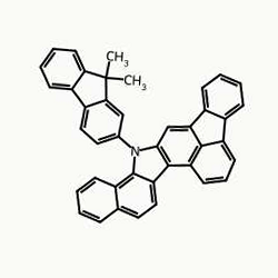 CC1(C)c2ccccc2-c2ccc(-n3c4cc5c6c(cccc6c4c4ccc6ccccc6c43)-c3ccccc3-5)cc21